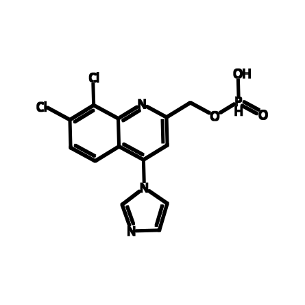 O=[PH](O)OCc1cc(-n2ccnc2)c2ccc(Cl)c(Cl)c2n1